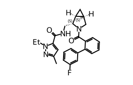 CCn1nc(C)cc1C(=O)NC[C@@H]1[C@H]2C[C@H]2CN1C(=O)c1ccccc1-c1cccc(F)c1